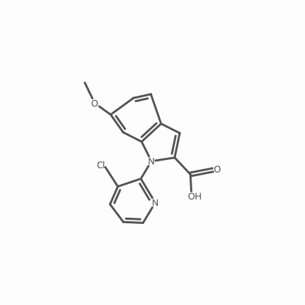 COc1ccc2cc(C(=O)O)n(-c3ncccc3Cl)c2c1